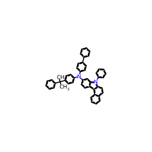 CC(C)(c1ccccc1)c1ccc(N(c2ccc(-c3ccccc3)cc2)c2ccc3c4c5ccccc5ccc4n(-c4ccccc4)c3c2)cc1